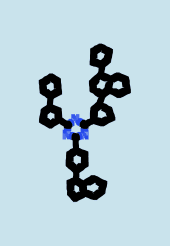 c1ccc(-c2cccc(-c3nc(-c4ccc(-c5cccc6ccccc56)cc4)nc(-c4cccc(-c5ccc(-c6ccccc6)c6ccccc56)c4)n3)c2)cc1